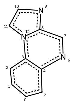 c1ccc2c(c1)ncc1nccn12